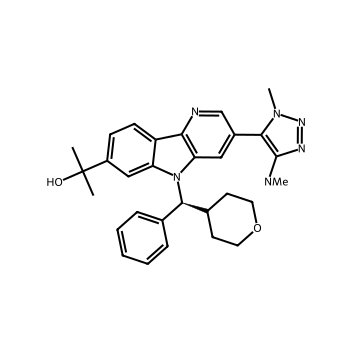 CNc1nnn(C)c1-c1cnc2c3ccc(C(C)(C)O)cc3n([C@H](c3ccccc3)C3CCOCC3)c2c1